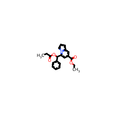 CCOC(=O)c1cc(C(OC(=O)CC)c2ccccc2)n2cccc2c1